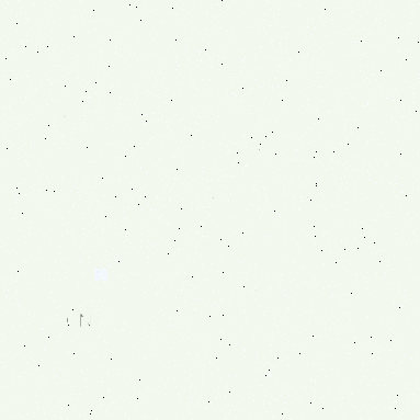 Cc1ccc(-c2ccccc2/C=C/C#N)cc1